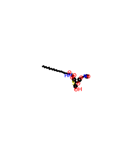 CCC=CCC=CCC=CCC=CCC=CCC=CCCC(=O)N[C@@H](C)C(=O)Oc1ccc2c(C(=O)c3ccc(OCCN4CCOCC4)cc3)c(-c3ccc(O)cc3)sc2c1